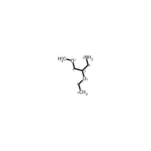 CCOC(CN)COC